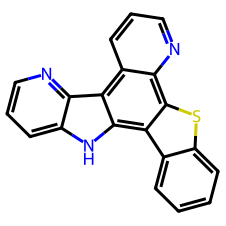 c1cnc2c(c1)[nH]c1c2c2cccnc2c2sc3ccccc3c12